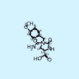 COc1ccc(C[N+]2(C(N)=O)C[C@H](C(=O)O)NC2=O)cc1